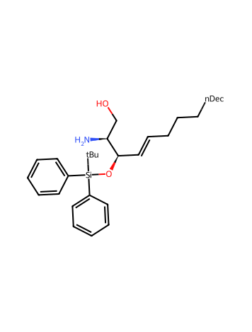 CCCCCCCCCCCCC/C=C/[C@@H](O[Si](c1ccccc1)(c1ccccc1)C(C)(C)C)[C@@H](N)CO